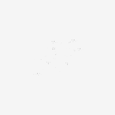 COc1cccc(N(Cc2ccnc(-c3cc(OC)c(OC)c(OC)c3)c2)C2CCNCC2)c1